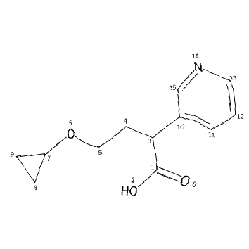 O=C(O)C(CCOC1CC1)c1cccnc1